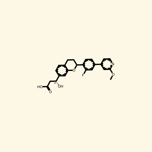 COc1cc(-c2ccc(C3CCc4ccc([C@H](O)CC(=O)O)cc4O3)c(F)c2)ccn1